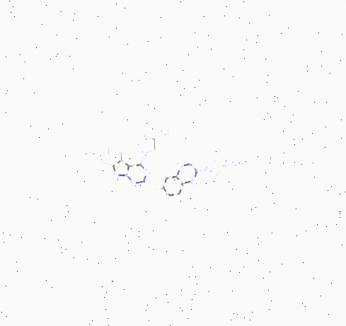 CCc1[nH]c2nc(Sc3ccc4nc(N5CC(N)C5)cnc4c3)nc(N3CC[C@@H](N)C3)c2c1Cl